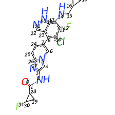 O=C(Nc1cn2cc(-c3c(Cl)c(F)c(NCC4CC4)c4[nH]ncc34)ccc2n1)C1CC1F